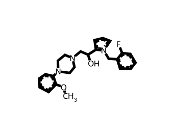 COc1ccccc1N1CCN(CC(O)c2cccn2Cc2ccccc2F)CC1